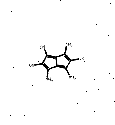 NC1=C(N)C2=C(N=O)C(N=O)=C(N)C2=C1N